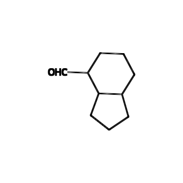 O=CC1CCCC2CCCC12